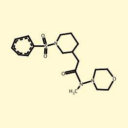 CN(C(=O)CC1CCCN(S(=O)(=O)c2ccccc2)C1)N1CCOCC1